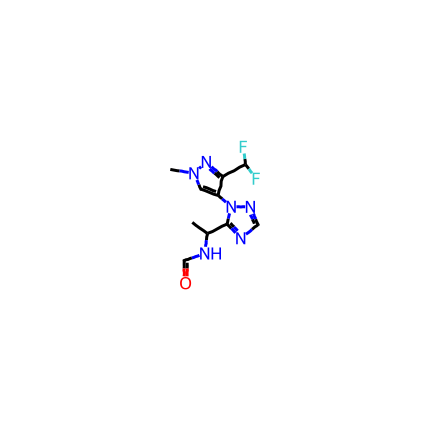 CC(NC=O)c1ncnn1-c1cn(C)nc1C(F)F